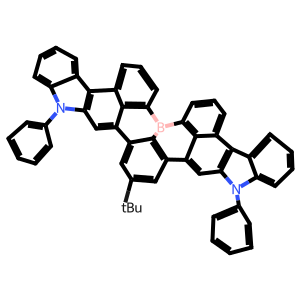 CC(C)(C)c1cc2c3c(c1)-c1cc4c(c5cccc(c15)B3c1cccc3c1c-2cc1c3c2ccccc2n1-c1ccccc1)c1ccccc1n4-c1ccccc1